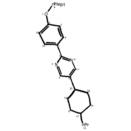 CCCCCCCOc1ccc(-c2ncc(C3CCC(CCC)CC3)cn2)cc1